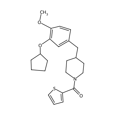 COc1ccc(CC2CCN(C(=O)c3cccs3)CC2)cc1OC1CCCC1